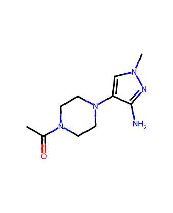 CC(=O)N1CCN(c2cn(C)nc2N)CC1